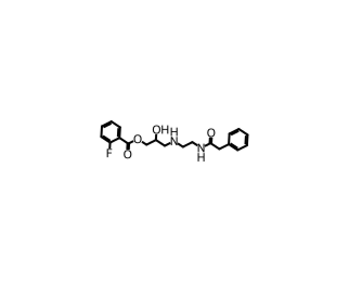 O=C(Cc1ccccc1)NCCNCC(O)COC(=O)c1ccccc1F